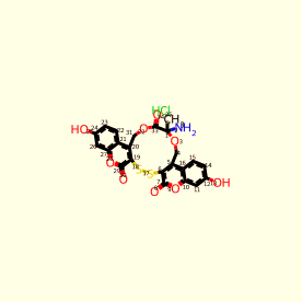 CC1(N)OCc2c(c(=O)oc3cc(O)ccc23)SSc2c(c3ccc(O)cc3oc2=O)COC1=O.Cl